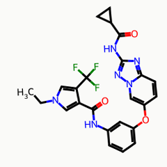 CCn1cc(C(=O)Nc2cccc(Oc3ccc4nc(NC(=O)C5CC5)nn4c3)c2)c(C(F)(F)F)c1